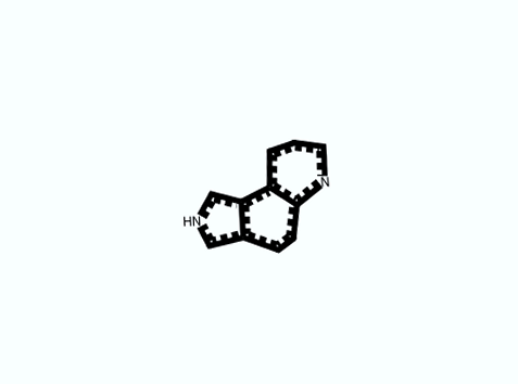 c1cnc2ccc3c[nH]cc3c2c1